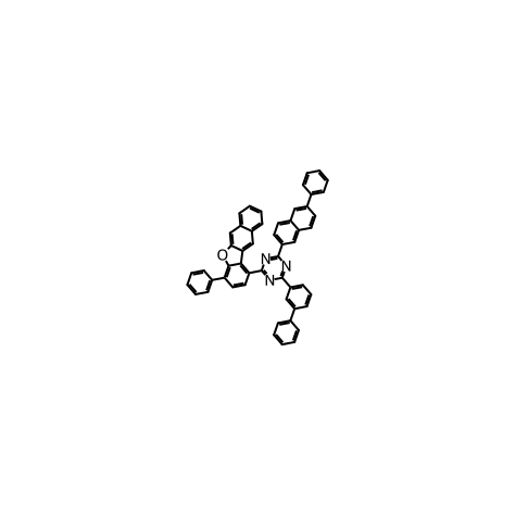 c1ccc(-c2cccc(-c3nc(-c4ccc5cc(-c6ccccc6)ccc5c4)nc(-c4ccc(-c5ccccc5)c5oc6cc7ccccc7cc6c45)n3)c2)cc1